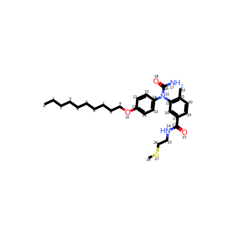 CCCCCCCCCCOc1ccc(N(C(N)=O)c2cc(C(=O)NCCSC)ccc2C)cc1